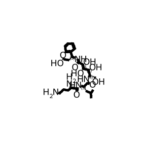 CC(C)C[C@H](NC(=O)[C@@H](N)CCCN)C(=O)N[C@@H](CO)[C@@H](O)[C@@H](O)[C@H](O)C(=O)N[C@@H](CC(=O)O)c1ccccc1